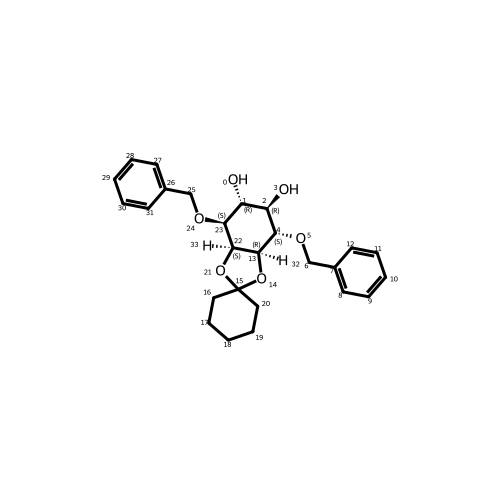 O[C@@H]1[C@@H](O)[C@H](OCc2ccccc2)[C@H]2OC3(CCCCC3)O[C@H]2[C@H]1OCc1ccccc1